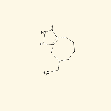 CCC1CCCCC2=C(C1)PNN2